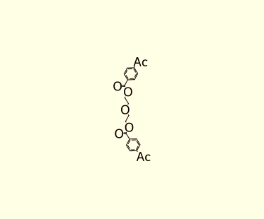 CC(=O)c1ccc(C(=O)OCCOCCOC(=O)c2ccc(C(C)=O)cc2)cc1